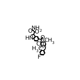 C[C@@H]1CN(Cc2ccc(F)cc2)[C@@H](C)CN1C(=O)c1cc2c(cc1Cl)NCC2C(=O)C(N)=O